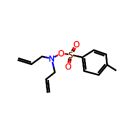 C=CCN(CC=C)OS(=O)(=O)c1ccc(C)cc1